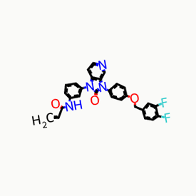 C=CC(=O)Nc1cccc(-n2c(=O)n(-c3ccc(OCc4ccc(F)c(F)c4)cc3)c3cnccc32)c1